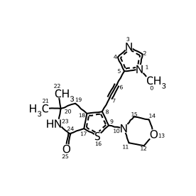 Cn1cncc1C#Cc1c(N2CCOCC2)sc2c1CC(C)(C)NC2=O